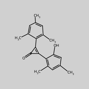 Cc1cc(C)c(-c2c(-c3c(C)cc(C)cc3O)c2=O)c(C)c1